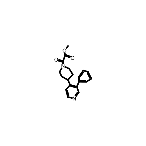 COC(=O)C(=O)N1CCC(c2ccncc2-c2ccccc2)CC1